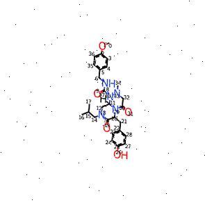 COc1ccc(CNC(=O)N2[C@H]3CN(CC(C)C)C(=O)[C@H](Cc4ccc(O)cc4)N3C(=O)CN2C)cc1